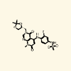 Cn1c(=O)cc(Nc2ccc(NS(C)(=O)=O)cc2F)c2c(=O)n(C[C@@H]3COC(C)(C)O3)cnc21